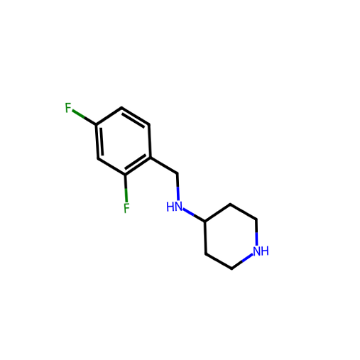 Fc1ccc(CNC2CCNCC2)c(F)c1